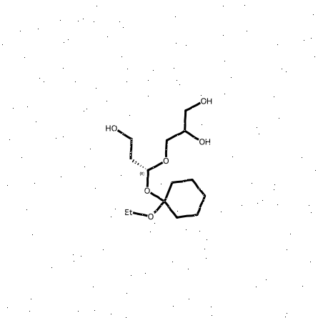 CCOC1(O[C@H](CCO)OCC(O)CO)CCCCC1